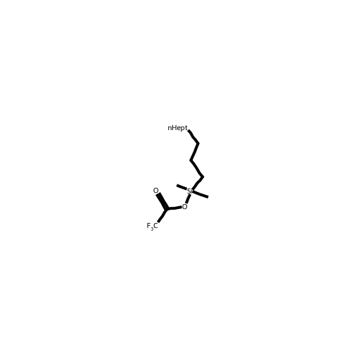 CCCCCCCCCC[Si](C)(C)OC(=O)C(F)(F)F